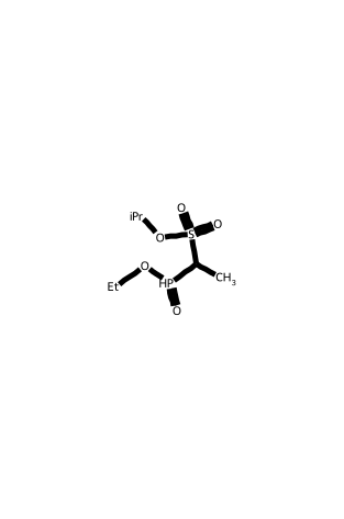 CCO[PH](=O)C(C)S(=O)(=O)OC(C)C